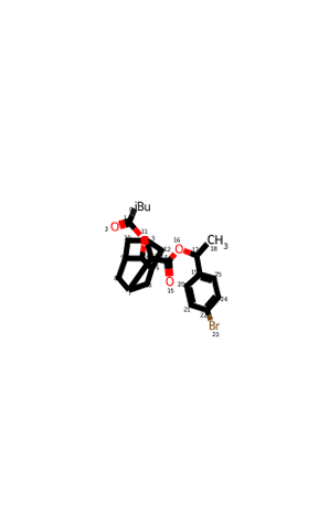 CCC(C)C(=O)OC1C2CC3CC1CC(C2)C3C(=O)OC(C)c1ccc(Br)cc1